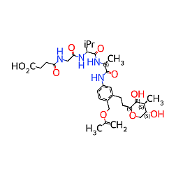 C=C(C)OCc1ccc(NC(=O)[C@H](C)NC(=O)C(NC(=O)CNC(=O)CCC(=O)O)C(C)C)cc1CC[C@@H]1OC[C@@H](O)[C@H](C)[C@H]1O